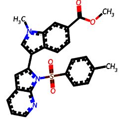 COC(=O)c1ccc2c(-c3cc4cccnc4n3S(=O)(=O)c3ccc(C)cc3)cn(C)c2c1